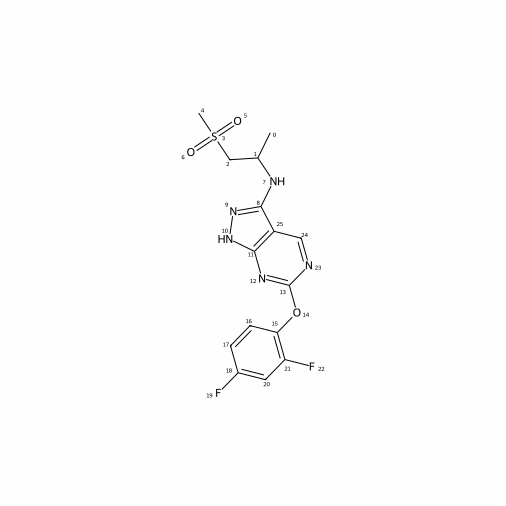 CC(CS(C)(=O)=O)Nc1n[nH]c2nc(Oc3ccc(F)cc3F)ncc12